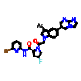 CC(=O)c1cn(CC(=O)N2C[C@H](F)C[C@H]2C(=O)Nc2cccc(Br)n2)c2ccc(-c3cnc4nccn4c3)cc12